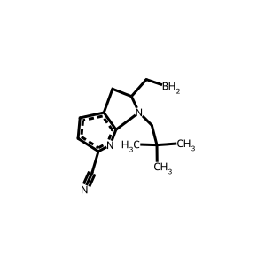 BCC1Cc2ccc(C#N)nc2N1CC(C)(C)C